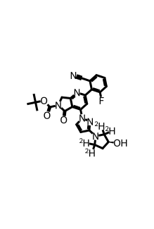 [2H]C1([2H])C[C@H](O)C([2H])([2H])N1c1ccn(-c2cc(-c3c(F)cccc3C#N)nc3c2C(=O)N(C(=O)OC(C)(C)C)C3)n1